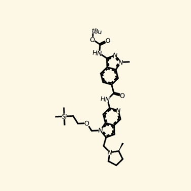 C[C@H]1CCCN1Cc1cc2cnc(NC(=O)c3ccc4c(NC(=O)OC(C)(C)C)nn(C)c4c3)cc2n1COCC[Si](C)(C)C